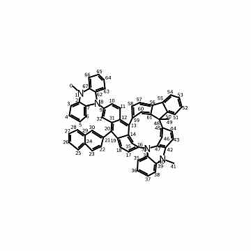 CN1c2ccccc2N(c2ccc3c4c5cc(ccc5c(-c5ccc6ccccc6c5)c3c2)N2c3ccccc3N(C)c3ccc(cc32)C2(C)c3ccccc3-c3ccc-4cc32)c2ccccc21